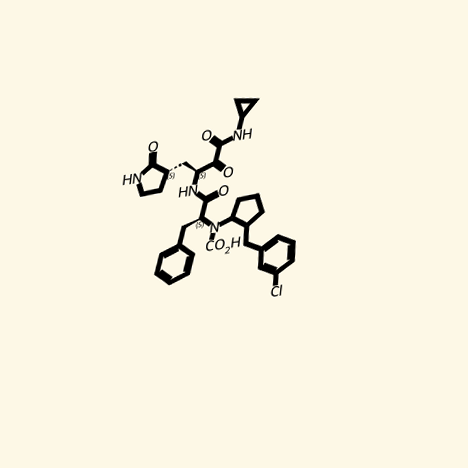 O=C(NC1CC1)C(=O)[C@H](C[C@@H]1CCNC1=O)NC(=O)[C@H](Cc1ccccc1)N(C(=O)O)C1CCCC1Cc1cccc(Cl)c1